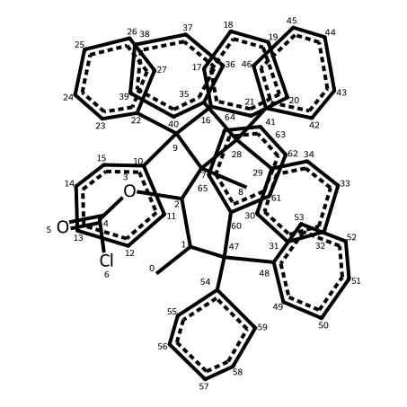 CC(C(OC(=O)Cl)C(C)(C(c1ccccc1)(c1ccccc1)c1ccccc1)C(c1ccccc1)(c1ccccc1)c1ccccc1)C(c1ccccc1)(c1ccccc1)c1ccccc1